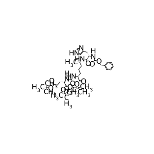 CC(CCC[C@H](NC(=O)N[C@@H](CCC(=O)OC(C)(C)C)C(=O)OC(C)(C)C)C(=O)OC(C)(C)C)NC(=O)[C@H](Cc1c[nH]cn1)NC(=O)OCc1ccccc1